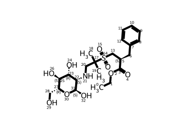 CCOC(=O)[C@H](Cc1ccccc1)CS(=O)(=O)C(C)(C)CN[C@H]1[C@@H](O)[C@H](O)[C@@H](CO)O[C@@H]1O